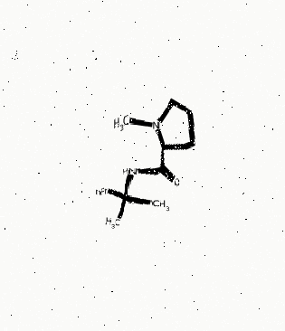 CCCC(C)(C)NC(=O)[C@@H]1CCCN1C